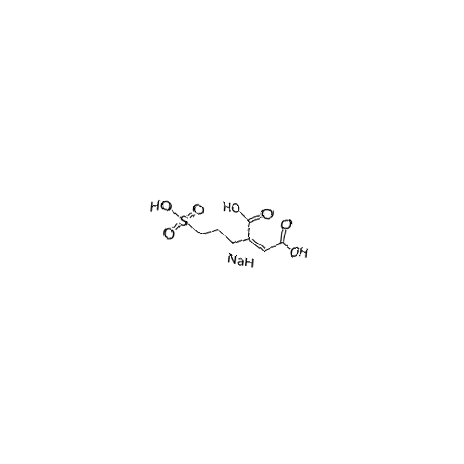 O=C(O)/C=C(/CCCS(=O)(=O)O)C(=O)O.[NaH]